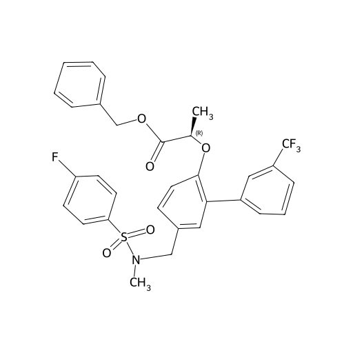 C[C@@H](Oc1ccc(CN(C)S(=O)(=O)c2ccc(F)cc2)cc1-c1cccc(C(F)(F)F)c1)C(=O)OCc1ccccc1